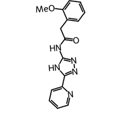 COc1ccccc1CC(=O)Nc1nnc(-c2ccccn2)[nH]1